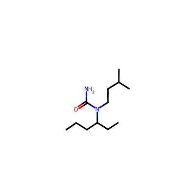 CCCC(CC)N(CCC(C)C)C(N)=O